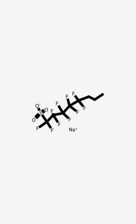 CCCC(F)(F)C(F)(F)C(F)(F)C(F)(F)C(F)(F)S(=O)(=O)[O-].[Na+]